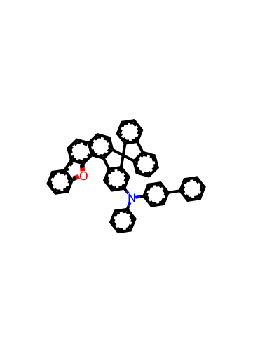 c1ccc(-c2ccc(N(c3ccccc3)c3ccc4c(c3)C3(c5ccccc5-c5ccccc53)c3ccc5ccc6c7ccccc7oc6c5c3-4)cc2)cc1